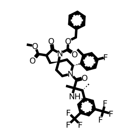 COC(=O)C1C[C@@]2(CCN(C(=O)C(C)(N)[C@H](C)c3cc(C(F)(F)F)cc(C(F)(F)F)c3)[C@@H](c3ccc(F)cc3C)C2)N(C(=O)OCc2ccccc2)C1=O